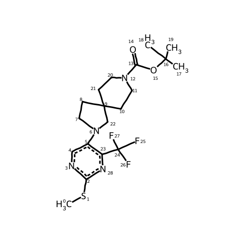 CSc1ncc(N2CCC3(CCN(C(=O)OC(C)(C)C)CC3)C2)c(C(F)(F)F)n1